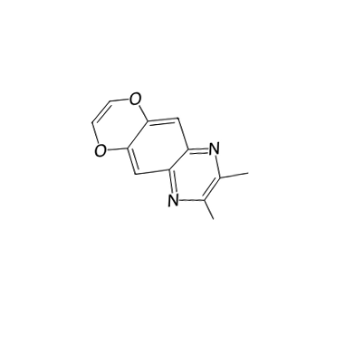 Cc1nc2cc3c(cc2nc1C)OC=CO3